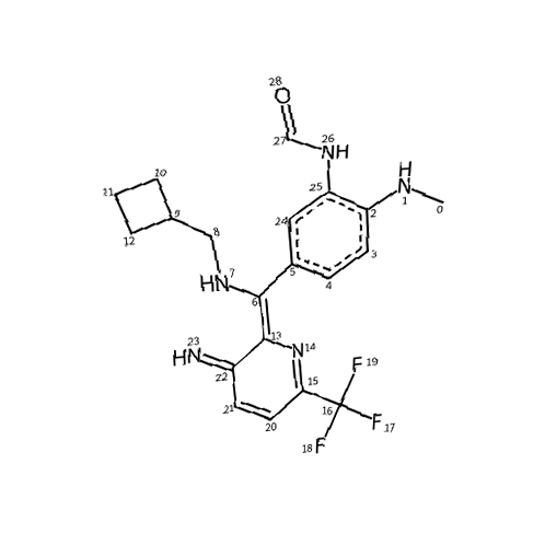 CNc1ccc(/C(NCC2CCC2)=C2\N=C(C(F)(F)F)C=CC2=N)cc1NC=O